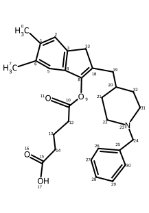 Cc1cc2c(cc1C)C(OC(=O)CCCC(=O)O)=C(CC1CCN(Cc3ccccc3)CC1)C2